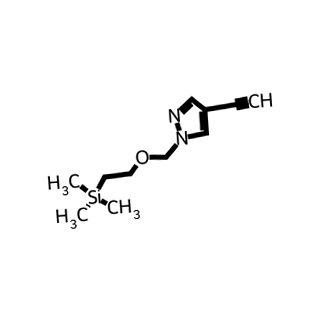 C#Cc1cnn(COCC[Si](C)(C)C)c1